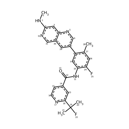 CNc1cc2ncc(-c3cc(NC(=O)c4ccnc(C(C)(C)F)c4)c(F)cc3C)cc2cn1